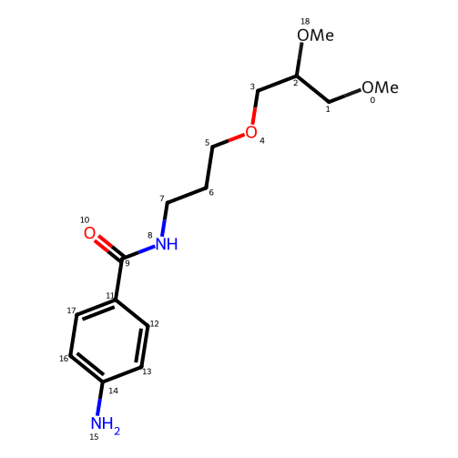 COCC(COCCCNC(=O)c1ccc(N)cc1)OC